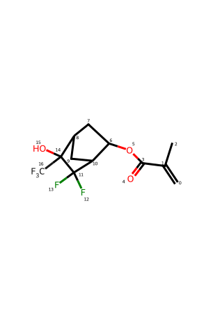 C=C(C)C(=O)OC1CC2CC1C(F)(F)C2(O)C(F)(F)F